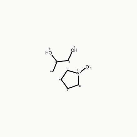 CC(O)CO.[O-][S+]1CCCC1